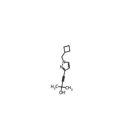 CC(C)(O)C#Cc1ccn(CC2CCC2)n1